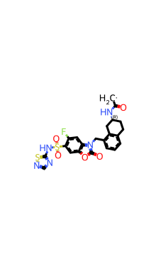 [CH2]C(=O)N[C@@H]1CCc2cccc(Cn3c(=O)oc4cc(S(=O)(=O)Nc5ncns5)c(F)cc43)c2C1